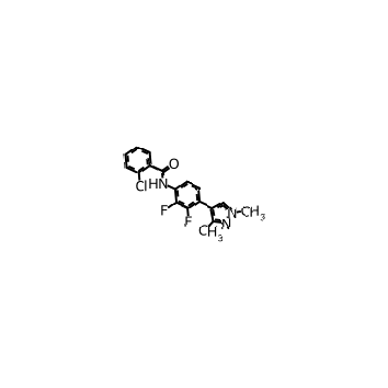 Cc1nn(C)cc1-c1ccc(NC(=O)c2ccccc2Cl)c(F)c1F